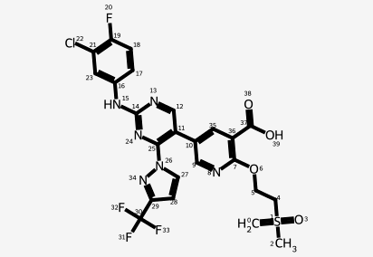 C=S(C)(=O)CCOc1ncc(-c2cnc(Nc3ccc(F)c(Cl)c3)nc2-n2ccc(C(F)(F)F)n2)cc1C(=O)O